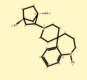 CC(=O)N1CCCC2(CCN(C3C[C@@H]4CC[C@@H]3C4)CC2)c2ccccc21